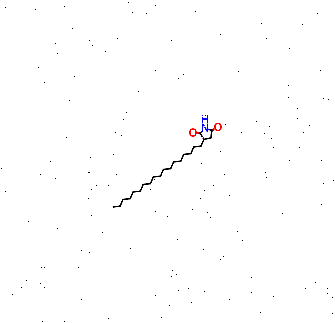 CCCCCCCCCCCCCCCCCCC1CC(=O)NC1=O